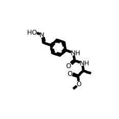 COC(=O)C(C)NC(=O)Nc1ccc(C=NO)cc1